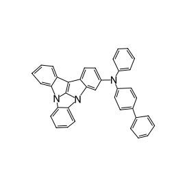 c1ccc(-c2ccc(N(c3ccccc3)c3ccc4c5c6ccccc6n6c7ccccc7n(c4c3)c56)cc2)cc1